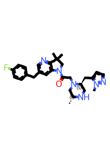 C[C@@H]1CN(CC(=O)N2CC(C)(C)c3ncc(Cc4ccc(F)cc4)cc32)[C@@H](Cc2ccnn2C)CN1